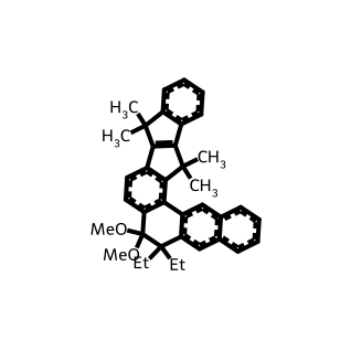 CCC1(CC)c2cc3ccccc3cc2-c2c(ccc3c2C(C)(C)C2=C3C(C)(C)c3ccccc32)C1(OC)OC